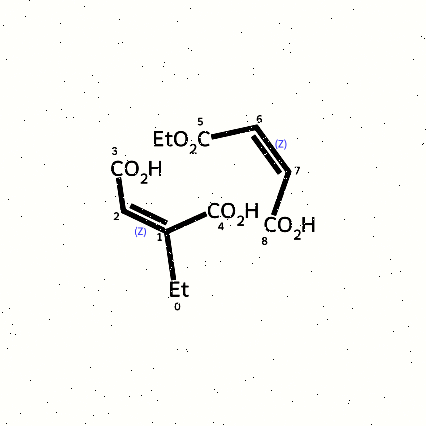 CC/C(=C/C(=O)O)C(=O)O.CCOC(=O)/C=C\C(=O)O